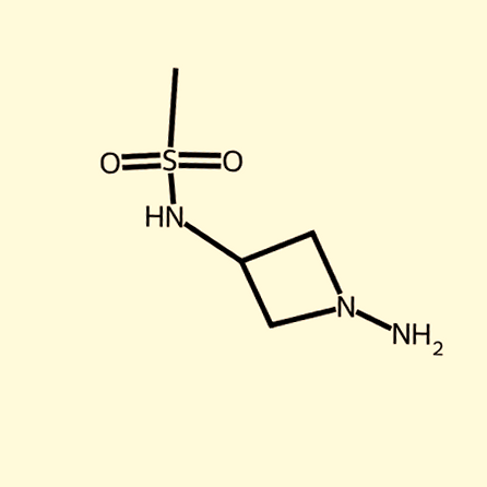 CS(=O)(=O)NC1CN(N)C1